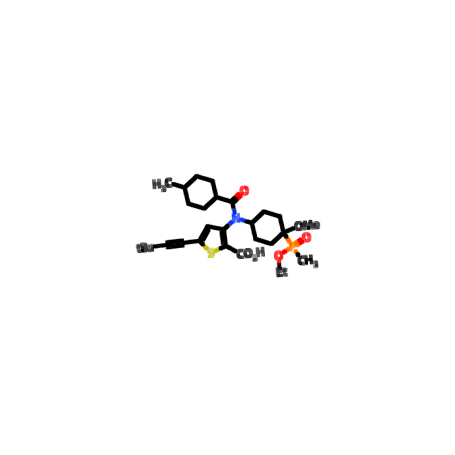 CCOP(C)(=O)C1(OC)CCC(N(C(=O)C2CCC(C)CC2)c2cc(C#CC(C)(C)C)sc2C(=O)O)CC1